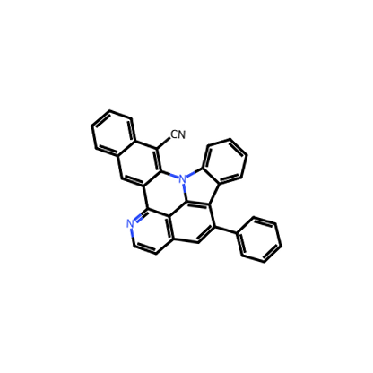 N#Cc1c2ccccc2cc2c3nccc4cc(-c5ccccc5)c5c6ccccc6n(c12)c5c43